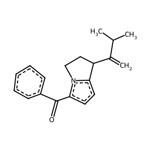 C=C(C(C)C)C1CCn2c(C(=O)c3ccccc3)ccc21